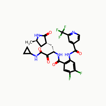 C[C@@H]1C[C@@H](C[C@H](NC(=O)c2cc(F)c(F)cc2NC(=O)c2ccnc(C(F)(F)F)c2)C(=O)C(=O)NC2CC2)C(=O)N1